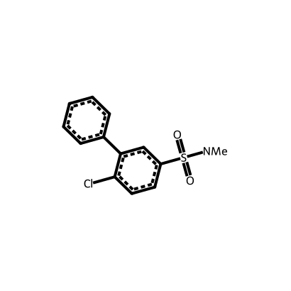 CNS(=O)(=O)c1ccc(Cl)c(-c2ccccc2)c1